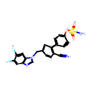 N#Cc1ccc(Cn2cnc3cc(F)c(F)cc32)cc1-c1ccc(OS(N)(=O)=O)cc1